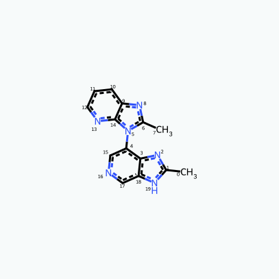 Cc1nc2c(-n3c(C)nc4cccnc43)cncc2[nH]1